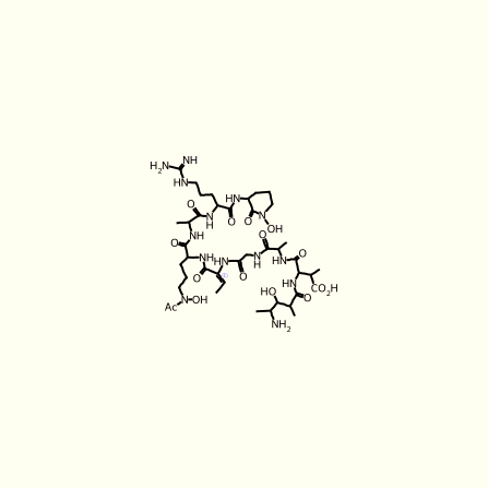 C/C=C(/NC(=O)CNC(=O)C(C)NC(=O)C(NC(=O)C(C)C(O)C(C)N)C(C)C(=O)O)C(=O)NC(CCCN(O)C(C)=O)C(=O)NC(C)C(=O)NC(CCCNC(=N)N)C(=O)NC1CCCN(O)C1=O